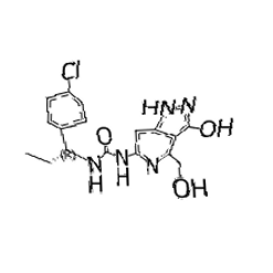 CC[C@@H](NC(=O)Nc1cc2[nH]nc(O)c2c(CO)n1)c1ccc(Cl)cc1